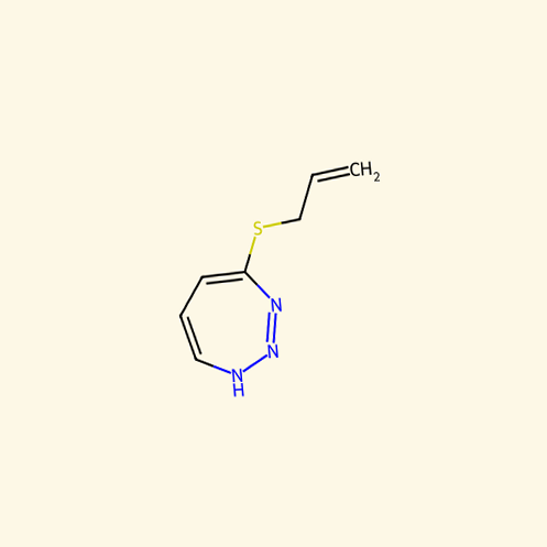 C=CCSC1=CC=CNN=N1